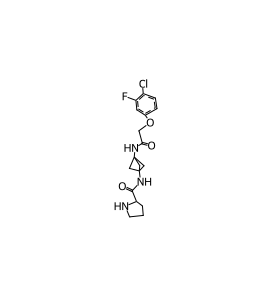 O=C(COc1ccc(Cl)c(F)c1)NC12CC(NC(=O)C3CCCN3)(C1)C2